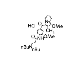 CCCCN(CCCC)CCC(=O)Nc1ccc(C(=O)c2c(C)c(OC)c3ccccn23)cc1OC.Cl